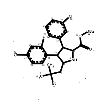 CCC(C)(C)CC1NC(C(=O)OC(C)(C)C)C(c2cccc(Cl)c2)C1c1ccc(Cl)cc1F